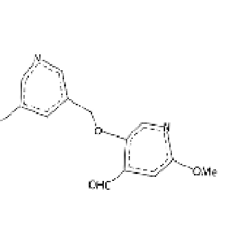 COc1cc(C=O)c(OCc2cncc(C)c2)cn1